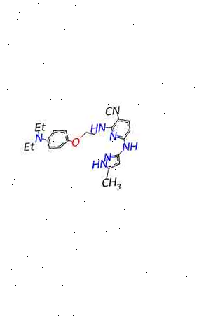 [C-]#[N+]c1ccc(Nc2cc(C)[nH]n2)nc1NCCOc1ccc(N(CC)CC)cc1